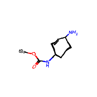 CC(C)(C)OC(=O)NC1C=CC(N)CC1